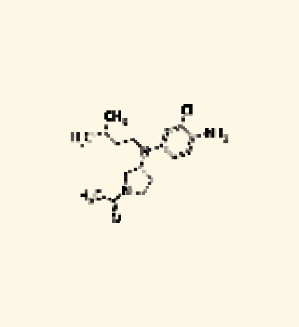 CC(=O)N1CCC(N(CCC(C)C)c2ccc(N)c(Cl)c2)C1